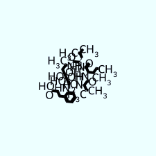 CC[C@H](C)[C@H](NC(=O)[C@@H](N)C(C)C)C(=O)N[C@@H](CC(C)C)C(=O)NC(C)CC(O)(O)C(O)(O)C(=O)Nc1ccccc1CCC(=O)O